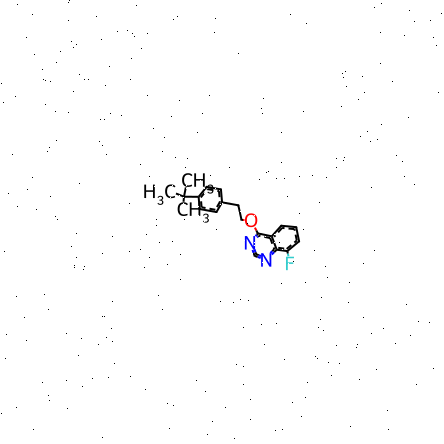 CC(C)(C)c1ccc(CCOc2ncnc3c(F)cccc23)cc1